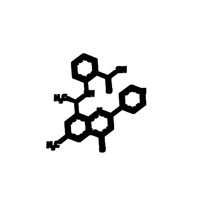 Cc1cc([C@@H](C)Nc2ccccc2C(=O)O)c2nc(-c3ccncc3)cc(=O)n2c1